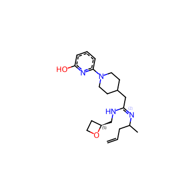 C=CCC(C)/N=C(/CC1CCN(c2cccc(O)n2)CC1)NC[C@@H]1CCO1